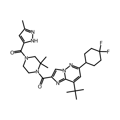 Cc1cc(C(=O)N2CCN(C(=O)c3cn4nc(C5CCC(F)(F)CC5)cc(C(C)(C)C)c4n3)C(C)(C)C2)[nH]n1